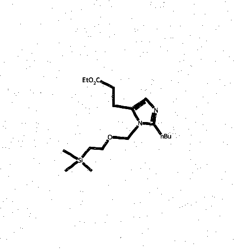 CCCCc1ncc(CCC(=O)OCC)n1COCC[Si](C)(C)C